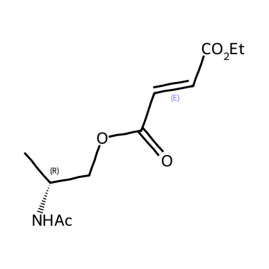 CCOC(=O)/C=C/C(=O)OC[C@@H](C)NC(C)=O